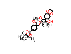 CCOCC1(CO[Si](C)(C)C(O)(C(C)(C)C)C2(COCC)CCC3(CC2)OCCO3)CC=C(B2OC(C)(C)C(C)(C)O2)CC1